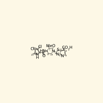 COC1CN(c2nc3nccc(C(=O)O)c3s2)CCC1NC(=O)c1[nH]c(C)c(Cl)c1Cl